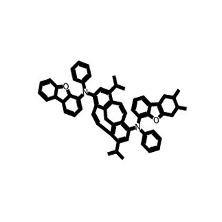 CC(C)c1cc(N(C2=CC=CC3C2OC2C=CC=CC23)c2ccccc2)c2c3c1C=Cc1c(N(c4ccccc4)c4cccc5c6c(oc45)CC(C)C(C)C6)cc(C(C)C)c(c1C3)C=C2